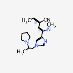 C=N/C(=C\C(C#N)=C/C)c1cn(CC(C)N2CCCC2)cn1